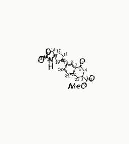 COC(=O)C1CC(=O)c2cc([C@H]3CC[C@]4(COC(=O)N4)C3)ccc2C1